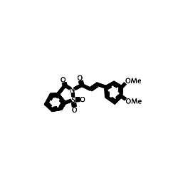 COc1ccc(C=CC(=O)N2C(=O)c3ccccc3S2(=O)=O)cc1OC